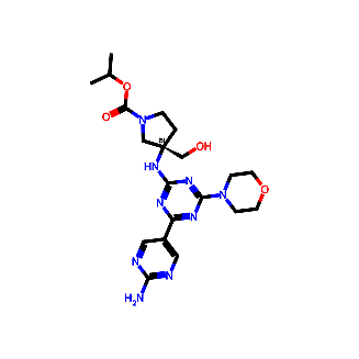 CC(C)OC(=O)N1CC[C@](CO)(Nc2nc(-c3cnc(N)nc3)nc(N3CCOCC3)n2)C1